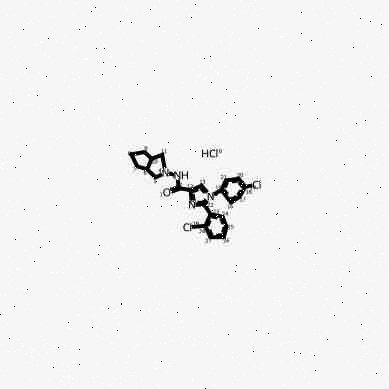 Cl.O=C(NN1CC2CCCC2C1)c1cn(-c2ccc(Cl)cc2)c(-c2ccccc2Cl)n1